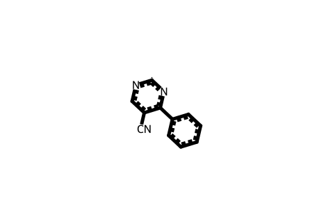 N#Cc1cn[c]nc1-c1ccccc1